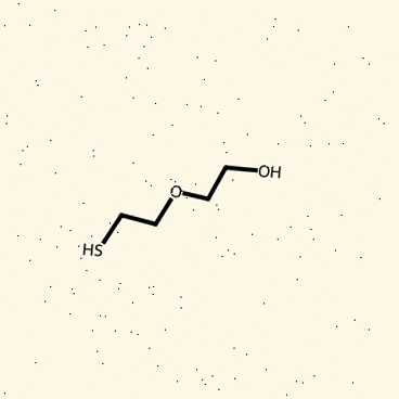 OCCOCCS